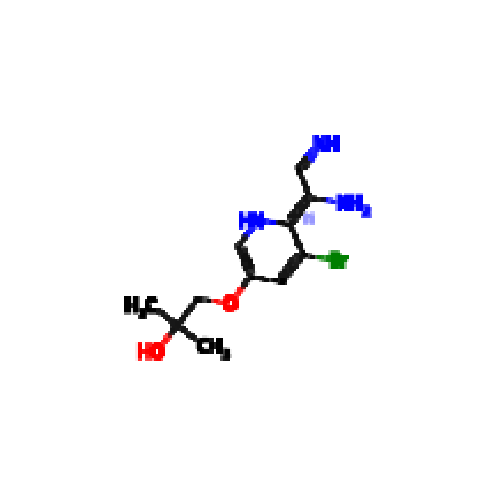 CC(C)(O)COC1=CN/C(=C(/N)C=N)C(Br)=C1